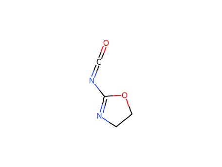 O=C=NC1=NCCO1